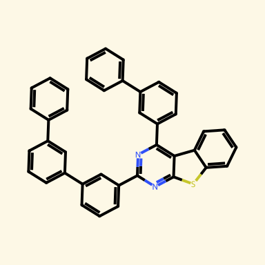 c1ccc(-c2cccc(-c3cccc(-c4nc(-c5cccc(-c6ccccc6)c5)c5c(n4)sc4ccccc45)c3)c2)cc1